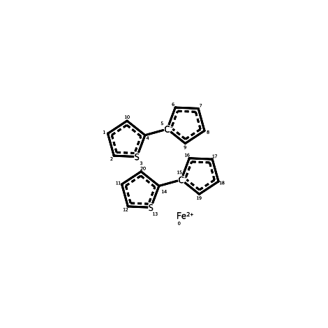 [Fe+2].c1csc(-[c-]2cccc2)c1.c1csc(-[c-]2cccc2)c1